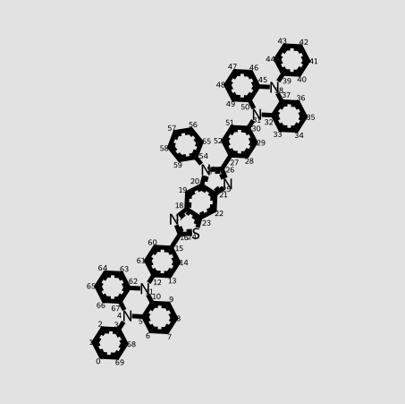 c1ccc(N2c3ccccc3N(c3ccc(-c4nc5cc6c(cc5s4)nc(-c4ccc(N5c7ccccc7N(c7ccccc7)c7ccccc75)cc4)n6-c4ccccc4)cc3)c3ccccc32)cc1